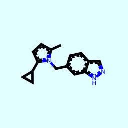 Cc1[c]cc(C2CC2)n1Cc1ccc2cn[nH]c2c1